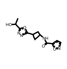 CC(O)c1nnc(C2CC(NC(=O)c3ccno3)C2)o1